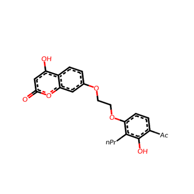 CCCc1c(OCCOc2ccc3c(O)cc(=O)oc3c2)ccc(C(C)=O)c1O